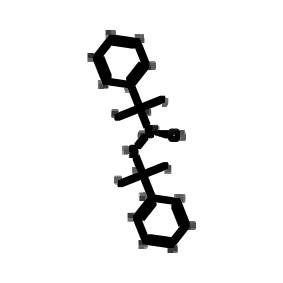 CC(C)(S[S@+]([O-])C(C)(C)c1ccccc1)c1ccccc1